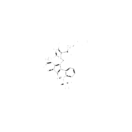 CCCCc1nc(Cl)c(C(=O)NCC(=O)OCC)n1Cc1c2ccocc-2c(Br)c1-c1ccccc1NS(=O)(=O)C(F)(F)F